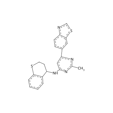 Cc1nc(NC2CCSc3ccccc32)cc(-c2ccc3ncsc3c2)n1